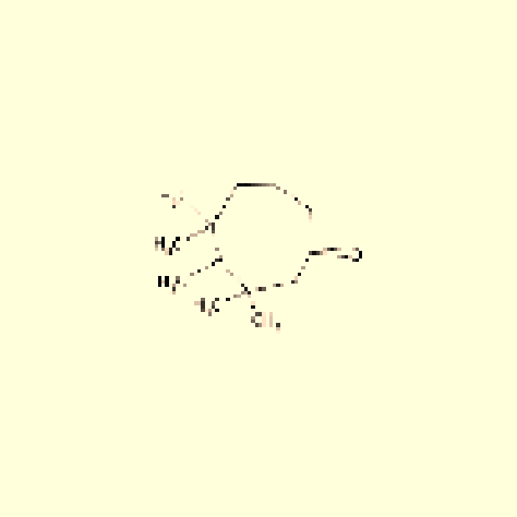 CP1C(C)(C)CCCC(=O)CC1(C)C